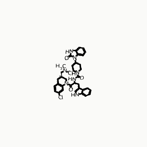 CN(C)C[C@@H]1Cc2ccc(Cl)cc2N(C(=O)C(Cc2c[nH]c3ccccc23)NC(=O)N2CCC(n3c(=O)[nH]c4ccccc43)CC2)C1